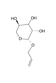 C=CCO[C@@H]1OC[C@@H](O)C(O)[C@@H]1O